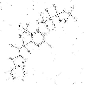 [2H]c1nc(C([2H])([2H])[S+]([O-])c2nc3ccccc3[nH]2)c(C([2H])([2H])[2H])c(OC([2H])([2H])C([2H])([2H])C([2H])([2H])OC([2H])([2H])[2H])c1[2H]